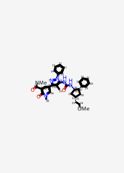 CNC(=O)c1cc(-c2nn(-c3ccccc3)c(NC(=O)N[C@@H]3C[C@@H](CCOC)C[C@H]3c3ccccc3)c2C)cn(C)c1=O